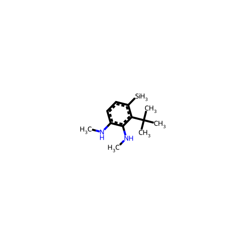 CNc1ccc([SiH3])c(C(C)(C)C)c1NC